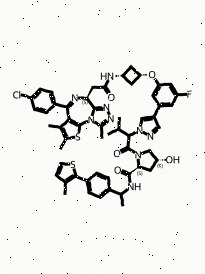 Cc1ccsc1-c1ccc(C(C)NC(=O)[C@@H]2C[C@@H](O)CN2C(=O)C(C(C)C)n2cc(-c3cc(F)cc(O[C@H]4C[C@@H](NC(=O)C[C@@H]5N=C(c6ccc(Cl)cc6)c6c(sc(C)c6C)-n6c(C)nnc65)C4)c3)cn2)cc1